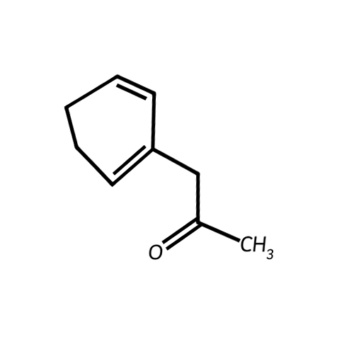 CC(=O)CC1=CCCC=C1